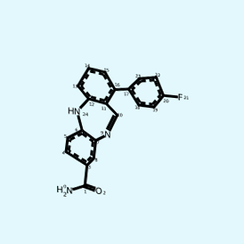 NC(=O)c1ccc2c(c1)N=Cc1c(cccc1-c1ccc(F)cc1)N2